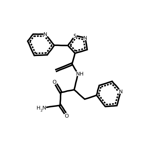 C=C(NC(Cc1ccncc1)C(=O)C(N)=O)c1cnsc1-c1ccccn1